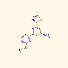 CSc1nccc(-c2cc(N)cc(-c3nccs3)n2)n1